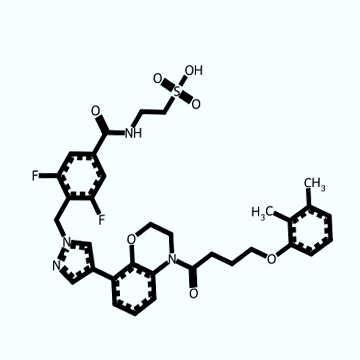 Cc1cccc(OCCCC(=O)N2CCOc3c(-c4cnn(Cc5c(F)cc(C(=O)NCCS(=O)(=O)O)cc5F)c4)cccc32)c1C